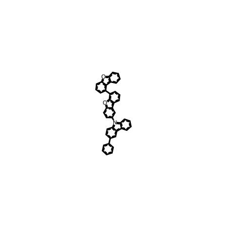 c1ccc(-c2ccc3c(c2)c2ccccc2n3-c2ccc3oc4c(-c5cccc6oc7ccccc7c56)cccc4c3c2)cc1